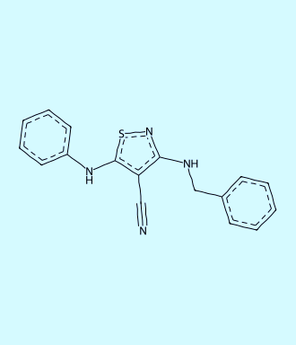 N#Cc1c(NCc2ccccc2)nsc1Nc1ccccc1